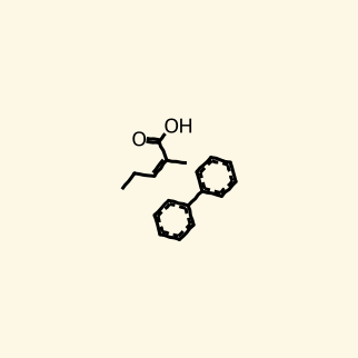 CCC=C(C)C(=O)O.c1ccc(-c2ccccc2)cc1